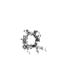 CC(C)C[C@@H]1NC(=O)[C@@H](Cc2ccccc2)NC(=O)[C@H](CCN)NC(=O)[C@@H](NC(=O)[C@@H](N)CCCN)CCNC(=O)[C@H]([C@@H](C)O)NC(=O)[C@H](CCN)NC(=O)[C@H](CCN)NC1=O